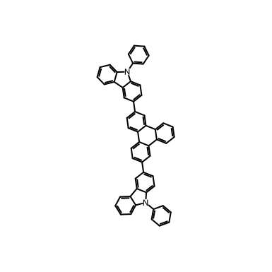 c1ccc(-n2c3ccccc3c3cc(-c4ccc5c6ccc(-c7ccc8c(c7)c7ccccc7n8-c7ccccc7)cc6c6ccccc6c5c4)ccc32)cc1